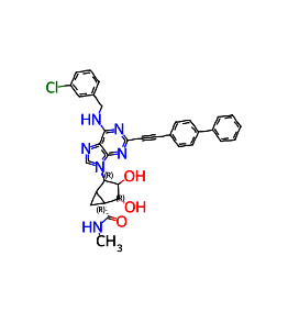 CNC(=O)[C@]12CC1[C@@H](n1cnc3c(NCc4cccc(Cl)c4)nc(C#Cc4ccc(-c5ccccc5)cc4)nc31)C(O)[C@@H]2O